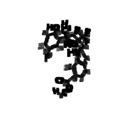 COC(=O)c1ccc2cc(CC(O)(CC(C)(C)c3cc(F)ccc3O)C(F)(F)F)[nH]c2c1